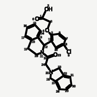 O=C(O)COc1ccc(Cl)cc1C1c2ccccc2CCN1C(=O)CN1Cc2ccccc2C1